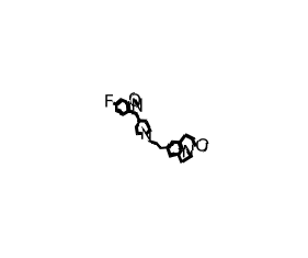 O=C1CCc2cc(CCCN3CCC(c4noc5cc(F)ccc45)CC3)cc3c2N1CC3